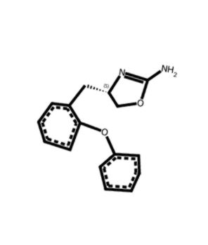 NC1=N[C@@H](Cc2ccccc2Oc2ccccc2)CO1